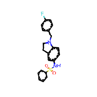 O=S(=O)(Nc1ccc2c(c1)CCN2Cc1ccc(F)cc1)c1ccccc1